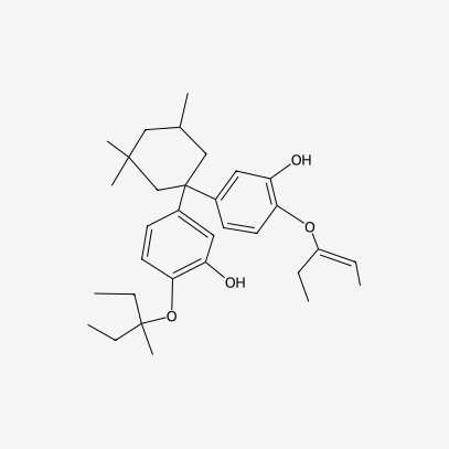 C/C=C(\CC)Oc1ccc(C2(c3ccc(OC(C)(CC)CC)c(O)c3)CC(C)CC(C)(C)C2)cc1O